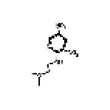 CN(C)CCNc1ncc([N+](=O)[O-])cc1[N+](=O)[O-]